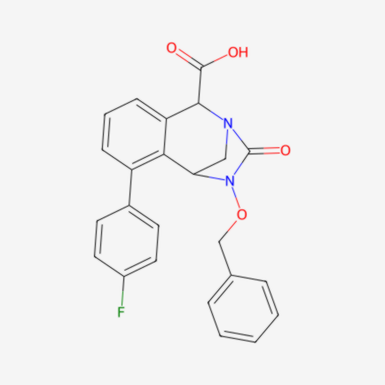 O=C(O)C1c2cccc(-c3ccc(F)cc3)c2C2CN1C(=O)N2OCc1ccccc1